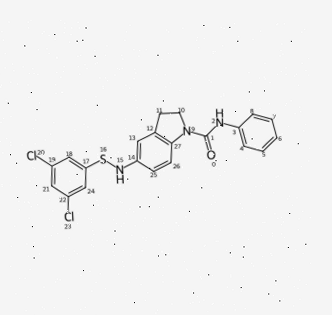 O=C(Nc1ccccc1)N1CCc2cc(NSc3cc(Cl)cc(Cl)c3)ccc21